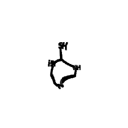 SC1NC=NCN1